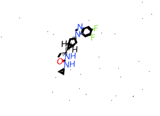 CC[C@@H](NC(=O)NC1CC1)[C@H]1[C@@H]2C[C@@H](n3cnc4cc(F)c(F)cc43)C[C@@H]21